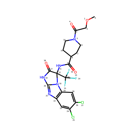 COCC(=O)N1CCC(C(=O)NC2(C(F)(F)F)C(=O)Nc3nc4cc(Cl)c(Cl)cc4n32)CC1